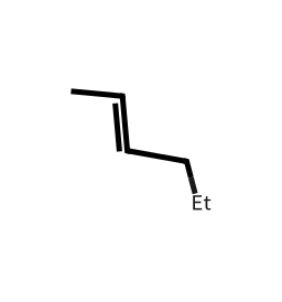 C/C=C/CCC